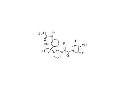 CCN(C(=O)OC(C)(C)C)c1cc(F)cc2c1NC(=O)C2(C)N1CCC[C@@H](NC(=O)c2cc(F)c(O)c(F)c2)C1